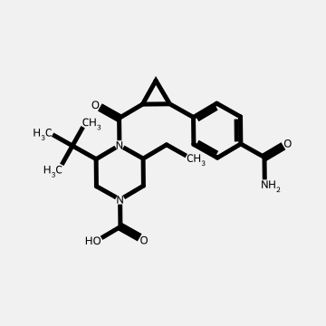 CCC1CN(C(=O)O)CC(C(C)(C)C)N1C(=O)C1CC1c1ccc(C(N)=O)cc1